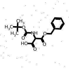 CC(C)(C)OC(=O)NC(C(=O)O)C(=O)OCc1ccccc1